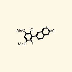 COc1cc(OC)c(Cl)c(-c2ccc3cc(Cl)ncc3c2)c1F